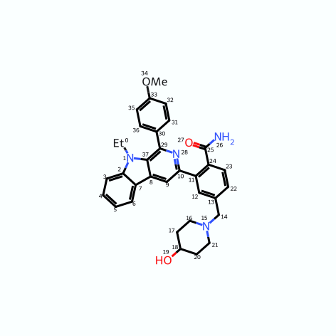 CCn1c2ccccc2c2cc(-c3cc(CN4CCC(O)CC4)ccc3C(N)=O)nc(-c3ccc(OC)cc3)c21